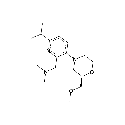 COC[C@H]1CN(c2ccc(C(C)C)nc2CN(C)C)CCO1